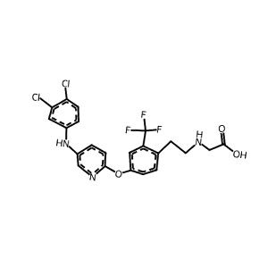 O=C(O)CNCCc1ccc(Oc2ccc(Nc3ccc(Cl)c(Cl)c3)cn2)cc1C(F)(F)F